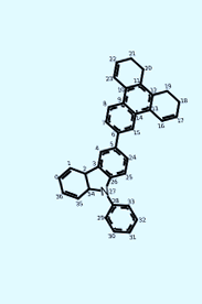 C1=CC2c3cc(-c4ccc5c6c(c7c(c5c4)C=CCC7)CCC=C6)ccc3N(c3ccccc3)C2C=C1